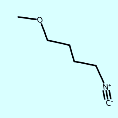 [C-]#[N+]CCCCOC